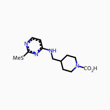 CSc1nccc(NCC2CCN(C(=O)O)CC2)n1